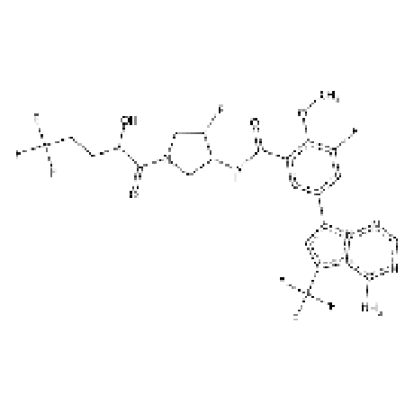 COc1c(F)cc(-c2cc(C(F)(F)F)c3c(N)ncnn23)cc1C(=O)N[C@@H]1CN(C(=O)C(O)CCC(F)(F)F)C[C@@H]1F